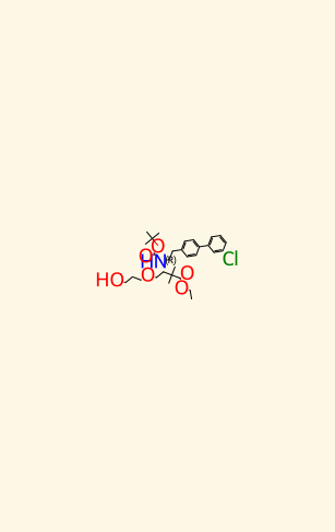 CCOC(=O)C(C)(CCOCCCO)C[C@@H](Cc1ccc(-c2cccc(Cl)c2)cc1)NC(=O)OC(C)(C)C